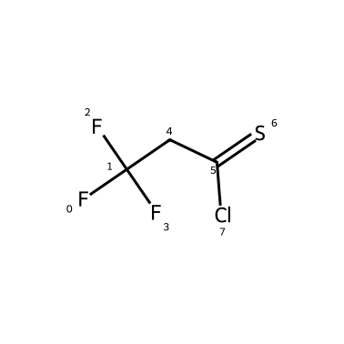 FC(F)(F)CC(=S)Cl